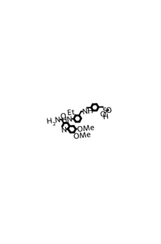 CCc1c(CNCc2ccc(C[SH](=O)=O)cc2)cccc1Nc1c(C(N)=O)cnc2cc(OC)c(OC)cc12